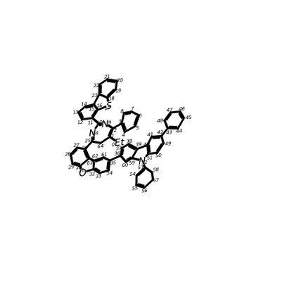 CCC1=C(c2ccccc2)N=C(c2cccc3c2sc2ccccc23)N=C(c2cccc3oc4ccc(-c5ccc6c7cc(-c8ccccc8)ccc7n(C7=CC=CCC7)c6c5)cc4c23)C1